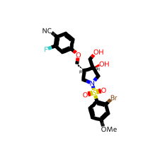 COc1ccc(S(=O)(=O)N2C[C@H](COc3ccc(C#N)c(F)c3)[C@](O)(CO)C2)c(Br)c1